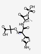 C[C@@H]1[C@@H](NC(=O)/C(=N\OC(C)(C)C(=O)O)c2csc(N)n2)C(=O)N1S(=O)(=O)O